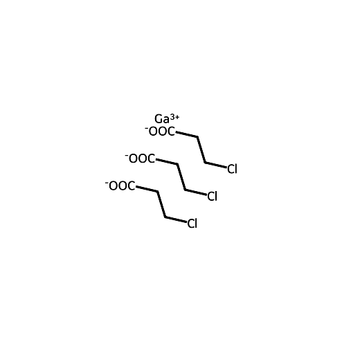 O=C([O-])CCCl.O=C([O-])CCCl.O=C([O-])CCCl.[Ga+3]